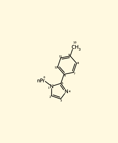 CCCn1ccnc1-c1ccc(C)cc1